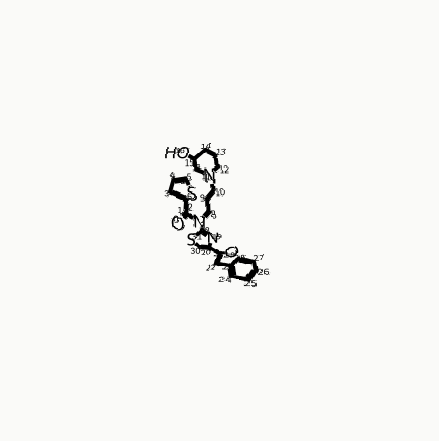 O=C(c1cccs1)N(CCCN1CCCC(O)C1)c1nc(-c2cc3ccccc3o2)cs1